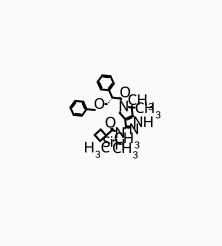 CC1(C)c2[nH]nc(NC(=O)C3([Si](C)(C)C)CCC3)c2CN1C(=O)[C@H](COCc1ccccc1)c1ccccc1